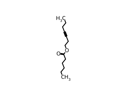 CCCC#CCCOC(=O)CCCCC